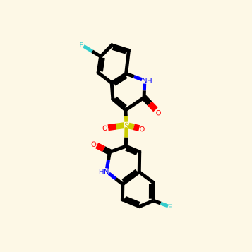 O=c1[nH]c2ccc(F)cc2cc1S(=O)(=O)c1cc2cc(F)ccc2[nH]c1=O